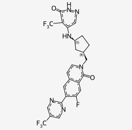 O=c1[nH]ncc(N[C@H]2CC[C@@H](Cn3ccc4cc(-c5ncc(C(F)(F)F)cn5)c(F)cc4c3=O)C2)c1C(F)(F)F